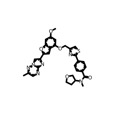 COc1cc(OCc2csc(-c3ccc(C(=O)N(C)C4CCOC4)cc3)n2)c2cc(-c3cn4nc(C)cnc4n3)oc2c1